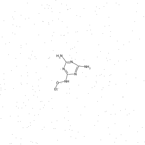 CCONc1nc(N)nc(N)n1